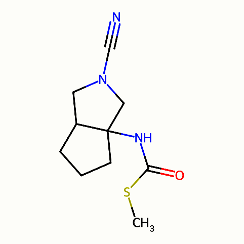 CSC(=O)NC12CCCC1CN(C#N)C2